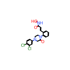 O=C(C=Cc1ccccc1N1CCN(c2ccc(Cl)c(Cl)c2)CC1=O)NO